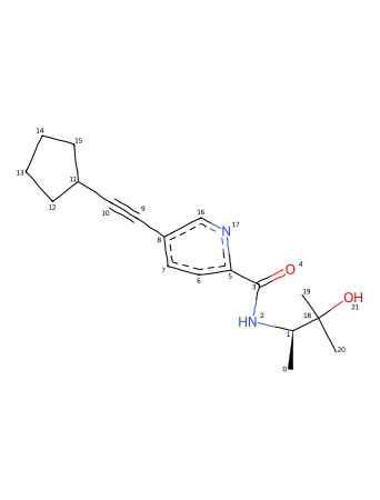 C[C@@H](NC(=O)c1ccc(C#CC2CCCC2)cn1)C(C)(C)O